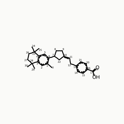 Cc1cc2c(cc1C1CCC(=CCc3ccc(C(=O)O)cc3)C1)C(C)(C)CCC2(C)C